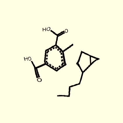 CCCCC1CCC2CC12.Cc1ccc(C(=O)O)cc1C(=O)O